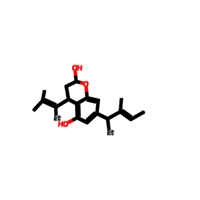 C/C=C(\C)C(CC)c1cc(O)c2c(c1)OC(O)CC2C(CC)=C(C)C